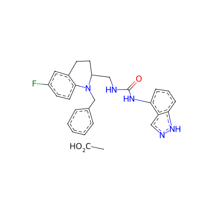 CC(=O)O.O=C(NCC1CCc2cc(F)ccc2N1Cc1ccccc1)Nc1cccc2[nH]ncc12